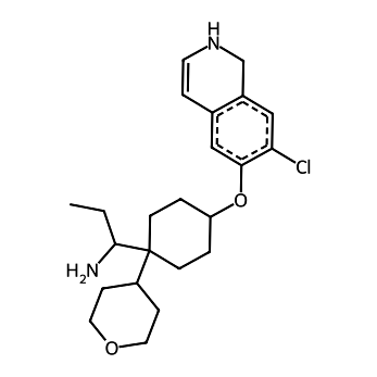 CCC(N)C1(C2CCOCC2)CCC(Oc2cc3c(cc2Cl)CNC=C3)CC1